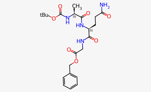 C[C@H](NC(=O)OC(C)(C)C)C(=O)N[C@@H](CCC(N)=O)C(=O)NCC(=O)OCc1ccccc1